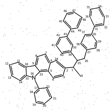 CC(c1ccc2c(ccc3c4ccccc4n(-c4ccccc4)c23)c1)C(Cc1ccc(-c2ccccc2)cc1)c1cccc(-c2ccccc2)c1